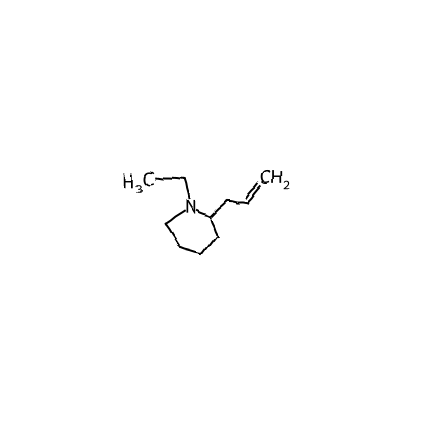 C=CCC1CCCCN1CC